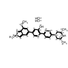 COc1cc(-c2cnc(-c3ccc(N4C[C@@H](C)N[C@@H](C)C4)nn3)c(O)c2)cc2cn(C)nc12.Cl.Cl